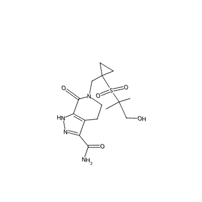 CC(C)(CO)S(=O)(=O)C1(CN2CCc3c(C(N)=O)n[nH]c3C2=O)CC1